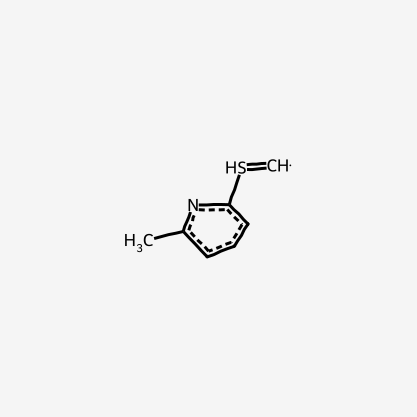 [CH]=[SH]c1cccc(C)n1